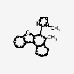 Cc1c(-c2nccn2C)c2oc3ccccc3c2c2ccccc12